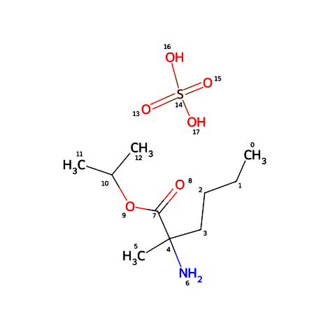 CCCCC(C)(N)C(=O)OC(C)C.O=S(=O)(O)O